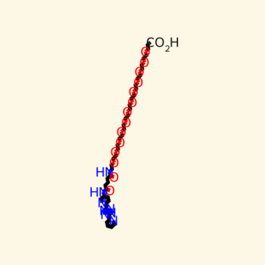 O=C(O)CCOCCOCCOCCOCCOCCOCCOCCOCCOCCOCCOCCOCCNC(=O)CCCC(=O)Nc1ccc(-c2nnc(-c3ccccn3)nn2)nc1